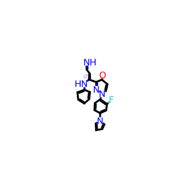 N=C/C=C(\Nc1ccccc1)c1nn(-c2ccc(-n3cccc3)cc2F)ccc1=O